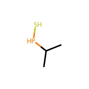 CC(C)PS